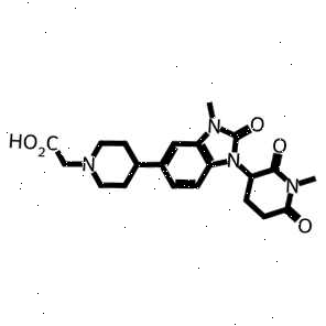 CN1C(=O)CCC(n2c(=O)n(C)c3cc(C4CCN(CC(=O)O)CC4)ccc32)C1=O